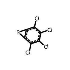 Clc1c(Cl)c(Cl)c2c(c1Cl)S2